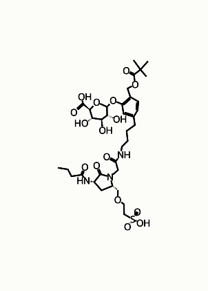 CCCC(=O)N[C@H]1C[C@@H](COCCS(=O)(=O)O)N(CC(=O)NCCCCc2ccc(COC(=O)C(C)(C)C)c(O[C@@H]3O[C@H](C(=O)O)[C@@H](O)[C@H](O)[C@H]3O)c2)C1=O